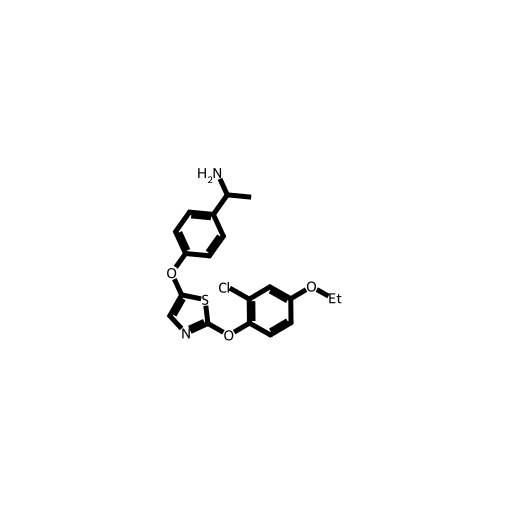 CCOc1ccc(Oc2ncc(Oc3ccc(C(C)N)cc3)s2)c(Cl)c1